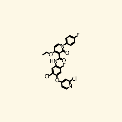 CCOc1ccn(-c2ccc(F)cc2)c(=O)c1C(=O)Nc1cc(Cl)c(Oc2ccnc(Cl)c2)cc1F